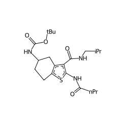 CCCC(=O)Nc1sc2c(c1C(=O)NCC(C)C)CC(NC(=O)OC(C)(C)C)CC2